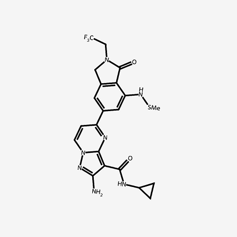 CSNc1cc(-c2ccn3nc(N)c(C(=O)NC4CC4)c3n2)cc2c1C(=O)N(CC(F)(F)F)C2